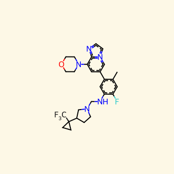 Cc1cc(F)c(NCN2CCC(C3(C(F)(F)F)CC3)C2)cc1-c1cc(N2CCOCC2)c2nccn2c1